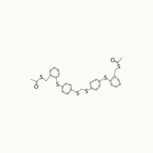 CC(=O)SCc1ccccc1Sc1ccc(SCSc2ccc(Sc3ccccc3CSC(C)=O)cc2)cc1